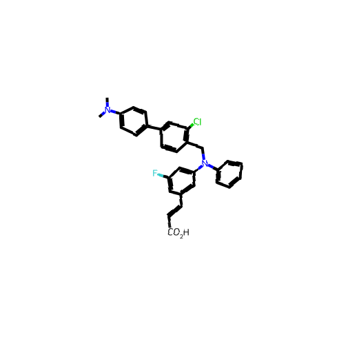 CN(C)c1ccc(-c2ccc(CN(c3ccccc3)c3cc(F)cc(/C=C/C(=O)O)c3)c(Cl)c2)cc1